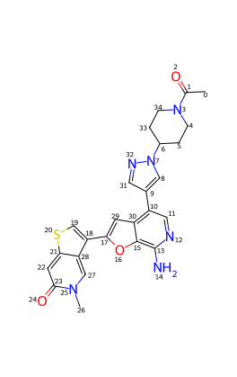 CC(=O)N1CCC(n2cc(-c3cnc(N)c4oc(-c5csc6cc(=O)n(C)cc56)cc34)cn2)CC1